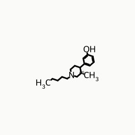 CCCCCN1CCC(c2cccc(O)c2)[C@@H](C)C1